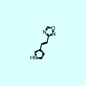 C(=Cc1ncon1)c1cc[nH]c1